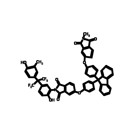 Cc1cc(C(c2ccc(O)c(N3C(=O)c4ccc(Oc5ccc(C6(c7ccc(Oc8ccc9c(c8)C(=O)N(C)C9=O)cc7)c7ccccc7-c7ccccc76)cc5)cc4C3=O)c2)(C(F)(F)F)C(F)(F)F)ccc1O